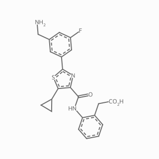 NCc1cc(F)cc(-c2nc(C(=O)Nc3ccccc3CC(=O)O)c(C3CC3)s2)c1